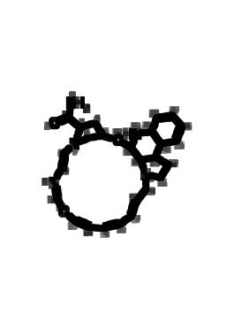 NC(=O)C1CC2CN1/C=C/N=C\O\C=C/C=C\C=C\CN1CCC3C4C=CC=CC4NC(O2)C31